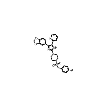 O=S(=O)(Cc1ccc(F)cc1)N1CCC(c2nc(-c3ccc4c(c3)OCO4)c(-c3ccccn3)[nH]2)CC1